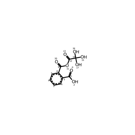 O=C(O)c1ccccc1C(=O)OC(=O)C(O)(O)O